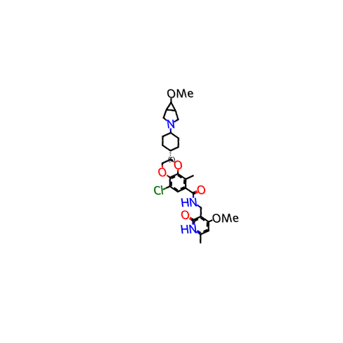 COc1cc(C)[nH]c(=O)c1CNC(=O)c1cc(Cl)c2c(c1C)O[C@@H](C1CCC(N3CC4C(C3)C4OC)CC1)CO2